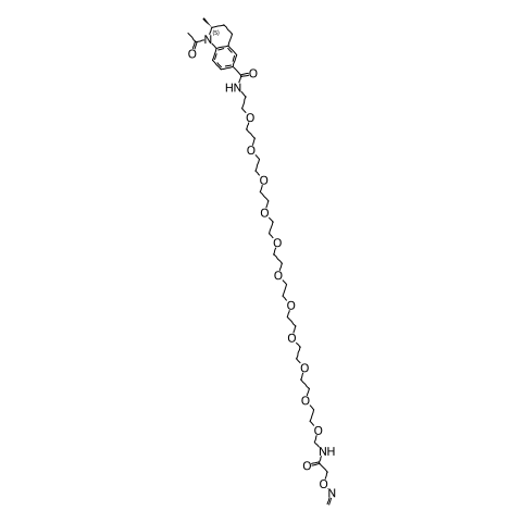 C=NOCC(=O)NCOCCOCCOCCOCCOCCOCCOCCOCCOCCOCCOCCNC(=O)c1ccc2c(c1)CC[C@H](C)N2C(C)=O